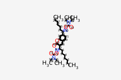 CCCCCCC/C(=N\OC(=O)N(CC)CC)c1cc2ccc(/C(CCCCCC)=N/OC(=O)N(CC)CC)cc2oc1=O